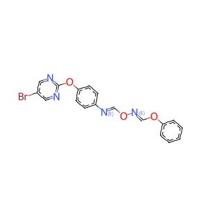 Brc1cnc(Oc2ccc(/N=C/O/N=C/Oc3ccccc3)cc2)nc1